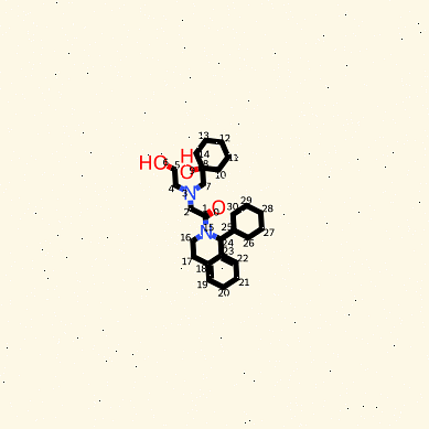 O=C(CN(CCO)CC1(O)CCCCC1)N1CCC2=CCCC=C2C1C1CCCCC1